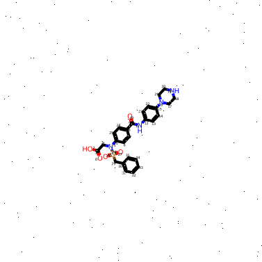 O=C(O)CN(c1ccc(C(=O)Nc2ccc(N3CCNCC3)cc2)cc1)S(=O)(=O)Cc1ccccc1